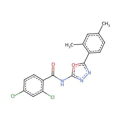 Cc1ccc(-c2nnc(NC(=O)c3ccc(Cl)cc3Cl)o2)c(C)c1